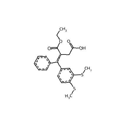 CCOC(=O)/C(CC(=O)O)=C(\c1ccccc1)c1ccc(SC)c(SC)c1